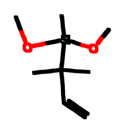 C=CC(C)(C)[Si](C)(OC)OC